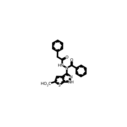 O=C(Cc1ccccc1)NN(C(=O)c1ccccc1)c1n[nH]c2sc(C(=O)O)cc12